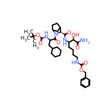 CC(C)(C)OC(=O)NC(CC1CCCCC1)C(=O)N1C2CCC(C2)[C@H]1C(=O)NC(CCCCNC(=O)OCc1ccccc1)C(O)C(N)=O